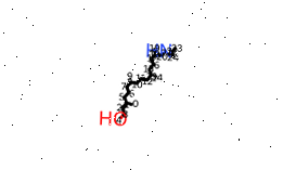 C/C(=C\CO)CCC[C@H](C)CCC[C@H](C)CCCC(C)CNC(C)C